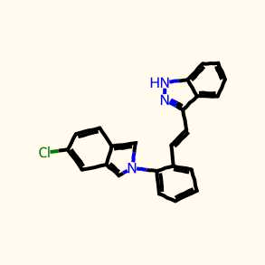 Clc1ccc2cn(-c3ccccc3C=Cc3n[nH]c4ccccc34)cc2c1